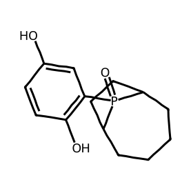 O=P1(c2cc(O)ccc2O)C2CCCCC1CC2